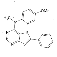 COc1ccc(N(C)c2ncnc3cc(-c4cccnc4)sc23)cc1